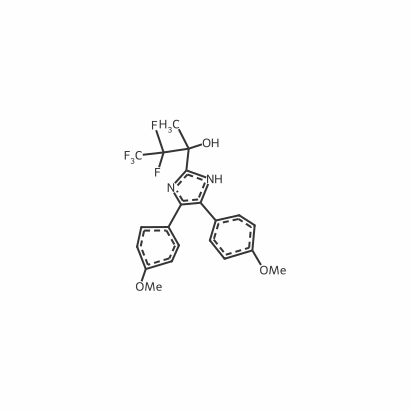 COc1ccc(-c2nc(C(C)(O)C(F)(F)C(F)(F)F)[nH]c2-c2ccc(OC)cc2)cc1